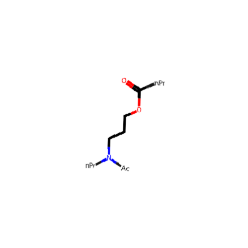 CCCC(=O)OCCCN(CCC)C(C)=O